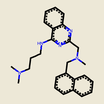 CN(C)CCCNc1nc(CN(C)Cc2cccc3ccccc23)nc2ccccc12